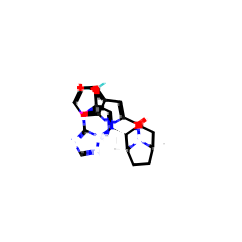 Cn1c(C(=O)N2[C@H]3CC[C@H](c4cc(C(F)F)nc5ncnn45)[C@@H]2CC3)cc2ccccc21